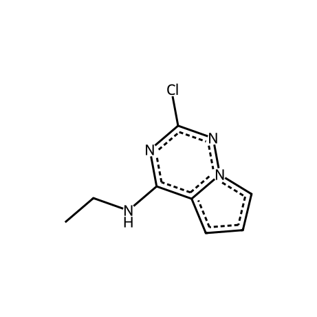 CCNc1nc(Cl)nn2cccc12